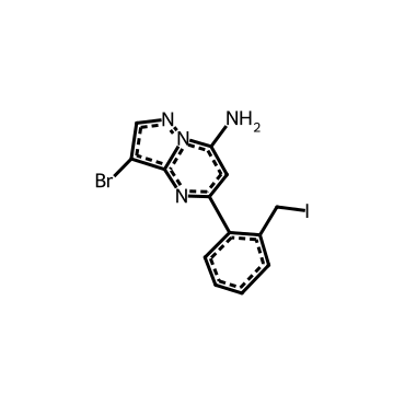 Nc1cc(-c2ccccc2CI)nc2c(Br)cnn12